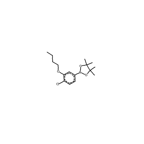 CCCCOc1cc(B2OC(C)(C)C(C)(C)O2)ccc1Cl